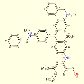 CCN(Cc1ccccc1)c1ccc(C(c2ccc(N(CC)Cc3ccccc3)cc2)c2ccc(Nc3cc(OC)c(S(=O)(=O)O)cc3CO)cc2S(=O)(=O)O)cc1